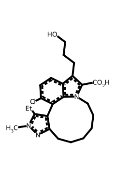 CCc1c2c(nn1C)CCCCCCn1c(C(=O)O)c(CCCO)c3ccc(Cl)c-2c31